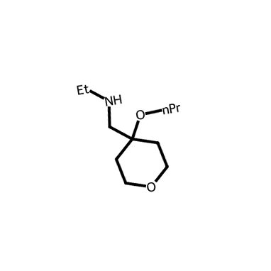 CCCOC1(CNCC)CCOCC1